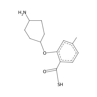 Cc1ccc(C(=O)S)c(OC2CCC(N)CC2)c1